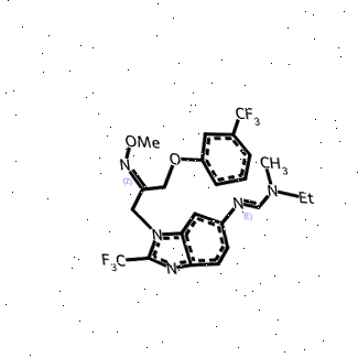 CCN(C)/C=N/c1ccc2nc(C(F)(F)F)n(C/C(COc3cccc(C(F)(F)F)c3)=N/OC)c2c1